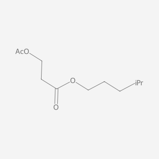 CC(=O)OCCC(=O)OCCCC(C)C